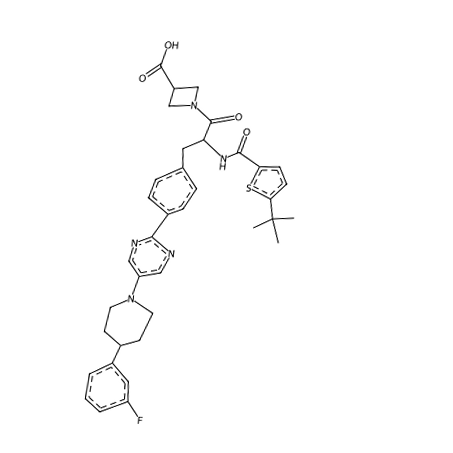 CC(C)(C)c1ccc(C(=O)NC(Cc2ccc(-c3ncc(N4CCC(c5cccc(F)c5)CC4)cn3)cc2)C(=O)N2CC(C(=O)O)C2)s1